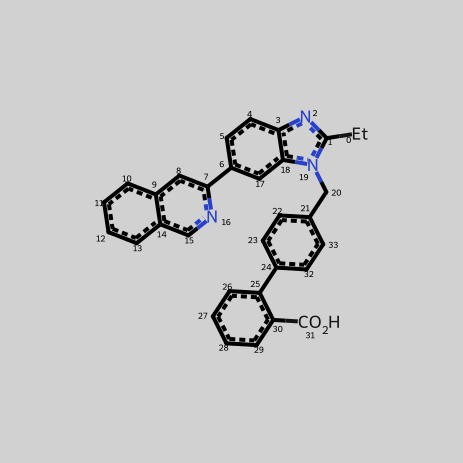 CCc1nc2ccc(-c3cc4ccccc4cn3)cc2n1Cc1ccc(-c2ccccc2C(=O)O)cc1